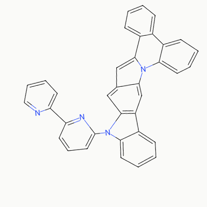 c1ccc(-c2cccc(-n3c4ccccc4c4cc5c(cc43)cc3c4ccccc4c4ccccc4n53)n2)nc1